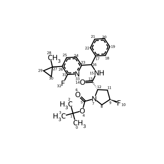 CC(C)(C)OC(=O)N1C[C@H](F)C[C@H]1C(=O)NC(c1ccccc1)c1ccc(C2(C)CC2)c(F)n1